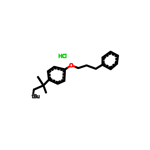 CC(C)(C)CC(C)(C)c1ccc(OCCCc2ccccc2)cc1.Cl